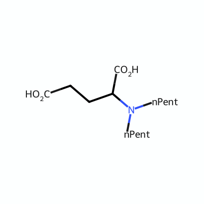 CCCCCN(CCCCC)C(CCC(=O)O)C(=O)O